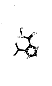 CC(C)c1scnc1C(=O)OI